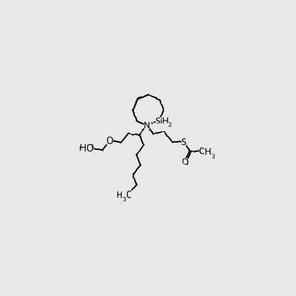 CCCCCCC(CCOCO)[N+]1(CCCSC(C)=O)CCCCCC[SiH2]1